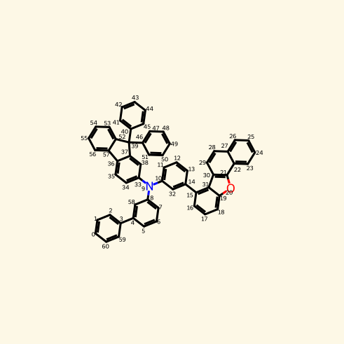 c1ccc(-c2cccc(N(c3cccc(-c4cccc5oc6c7ccccc7ccc6c45)c3)c3ccc4c(c3)C(c3ccccc3)(c3ccccc3)c3ccccc3-4)c2)cc1